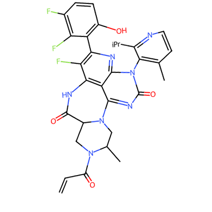 C=CC(=O)N1CC2C(=O)Nc3c(F)c(-c4c(O)ccc(F)c4F)nc4c3c(nc(=O)n4-c3c(C)ccnc3C(C)C)N2CC1C